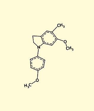 COc1ccc(N2CCc3cc(C)c(OC)cc32)cc1